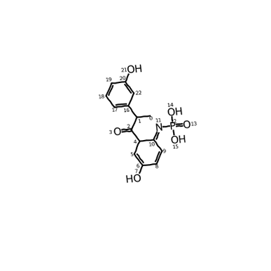 CC(C(=O)C1C=C(O)C=CC1=NP(=O)(O)O)c1cccc(O)c1